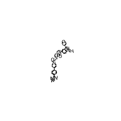 Cn1cnc(-c2ccc(C3=CCN(C(=O)CN4CC[C@]5(CCN(c6ccc7[nH]nc(C8=CCOCC8)c7c6)C5=O)C4)CC3)cc2)n1